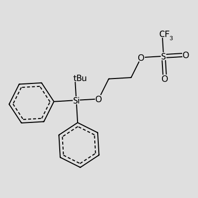 CC(C)(C)[Si](OCCOS(=O)(=O)C(F)(F)F)(c1ccccc1)c1ccccc1